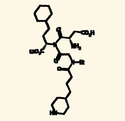 CCOC(=O)[C@H](CCC1CCCCC1)N(C(=O)CN(CC)C(=O)CCCC1CCNCC1)C(=O)[C@@H](N)CC(=O)O